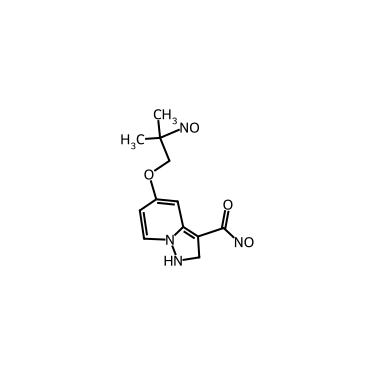 CC(C)(COC1=CC2=C(C(=O)N=O)CNN2C=C1)N=O